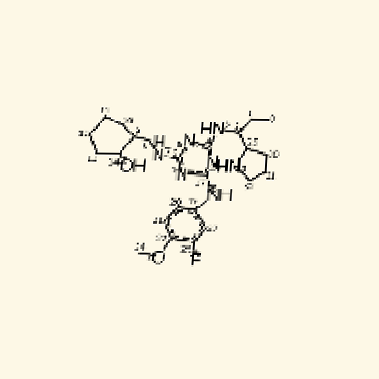 CCC(Nc1nc(NCC2CCCCC2O)nc(Nc2ccc(OC)c(F)c2)n1)C1CCCN1